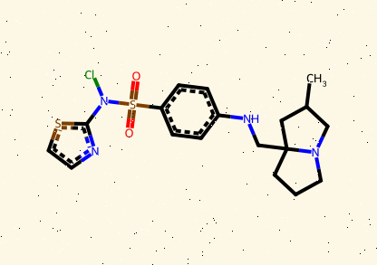 CC1CN2CCCC2(CNc2ccc(S(=O)(=O)N(Cl)c3nccs3)cc2)C1